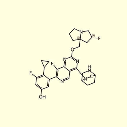 Oc1cc(F)c(C2CC2)c(-c2ncc3c(N4CC5CCC4CN5)nc(OC[C@@]45CCCN4C[C@H](F)C5)nc3c2F)c1